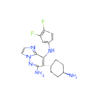 Nc1nn2ccnc2c(Nc2ccc(F)c(F)c2)c1[C@H]1CC[C@H](N)CC1